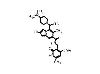 COc1cc(C)[nH]c(=O)c1CNC(=O)c1cc2cc(Cl)cn2c(C(C)N2CCC(N(C)C)CC2)c1C